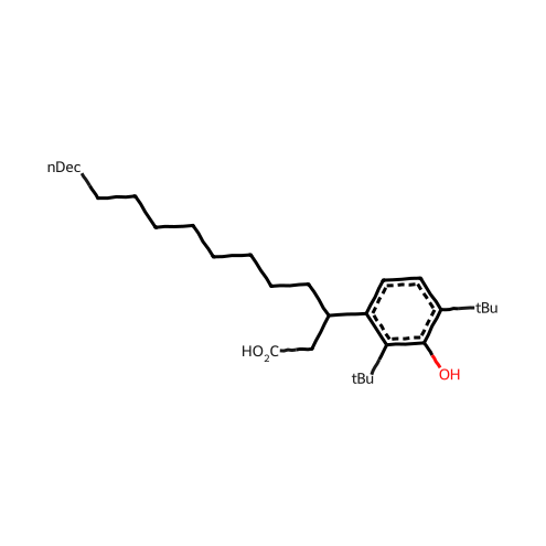 CCCCCCCCCCCCCCCCCCC(CC(=O)O)c1ccc(C(C)(C)C)c(O)c1C(C)(C)C